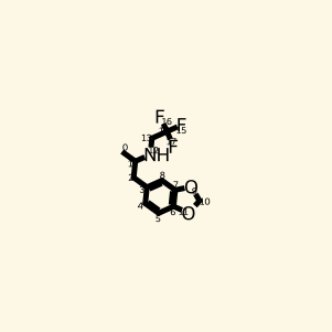 CC(Cc1ccc2c(c1)OCO2)NCC(F)(F)F